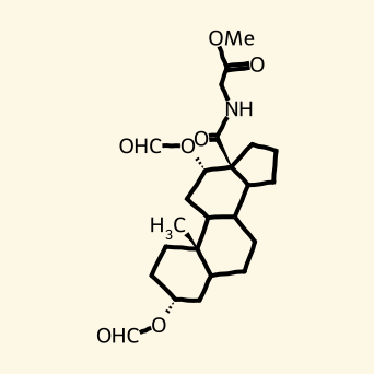 COC(=O)CNC(=O)[C@@]12CCCC1C1CCC3C[C@H](OC=O)CC[C@]3(C)C1C[C@@H]2OC=O